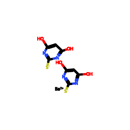 Oc1cc(O)nc([S-])n1.Oc1cc(O)nc([S-])n1.[Ba+2]